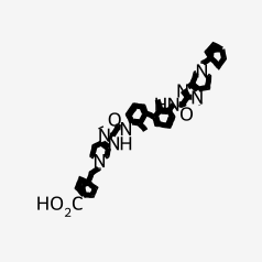 Cc1c(NC(=O)c2nc3c(n2C)CCN(CCC24CCC(C(=O)O)(CC2)C4)C3)cccc1-c1cccc(NC(=O)c2nc3c(n2C)CCN(CC24CCC(CC2)C4)C3)c1C